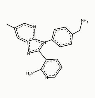 Cc1cnc2c(c1)nc(-c1cccnc1N)n2-c1ccc(CN)cc1